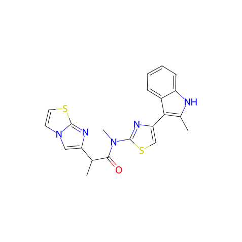 Cc1[nH]c2ccccc2c1-c1csc(N(C)C(=O)C(C)c2cn3ccsc3n2)n1